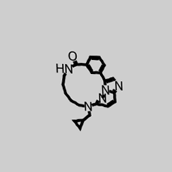 O=C1NCCCCCN(CC2CC2)c2ccc3ncc(n3n2)-c2cccc1c2